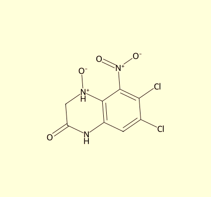 O=C1C[NH+]([O-])c2c(cc(Cl)c(Cl)c2[N+](=O)[O-])N1